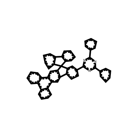 c1ccc(-c2nc(-c3ccccc3)nc(-c3ccc4c(c3)C3(c5ccccc5-c5ccccc53)c3cc5c6ccccc6c6ccccc6c5cc3-4)n2)cc1